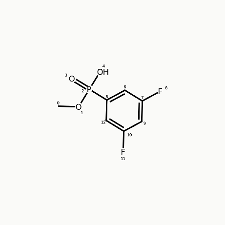 COP(=O)(O)c1cc(F)cc(F)c1